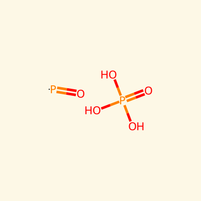 O=P(O)(O)O.O=[P]